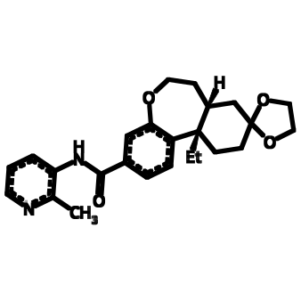 CC[C@]12CCC3(C[C@H]1CCOc1cc(C(=O)Nc4cccnc4C)ccc12)OCCO3